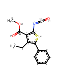 CCc1c(-c2ccccc2)sc(N=C=O)c1C(=O)OC